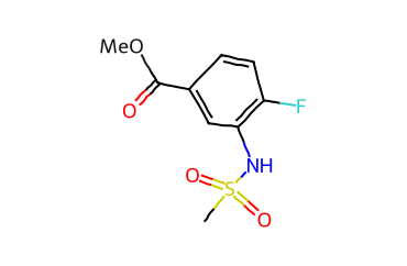 COC(=O)c1ccc(F)c(NS(C)(=O)=O)c1